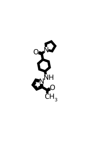 CC(=O)c1cccn1NC1CCC(C(=O)N2CCCC2)CC1